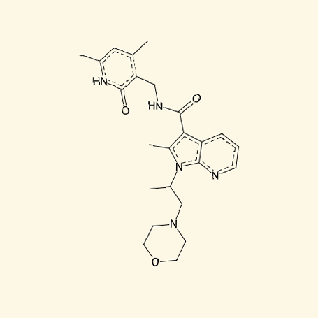 Cc1cc(C)c(CNC(=O)c2c(C)n(C(C)CN3CCOCC3)c3ncccc23)c(=O)[nH]1